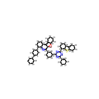 c1ccc(-c2ccc(-c3cccc4c3nc(-c3cccc(-c5nc(-c6ccccc6)nc(-c6cccc7c6sc6ccccc67)n5)c3)c3oc5ccccc5c34)cc2)cc1